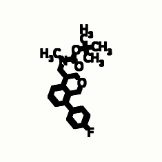 CN(CC1COCc2c(-c3ccc(F)cc3)cccc21)C(=O)OC(C)(C)C